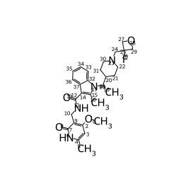 COc1cc(C)[nH]c(=O)c1CNC(=O)c1c(C)n([C@H](C)C2CCN(CC3(F)COC3)CC2)c2ccccc12